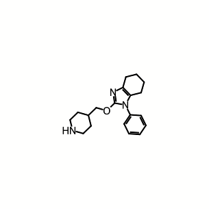 c1ccc(-n2c(OCC3CCNCC3)nc3c2CCCC3)cc1